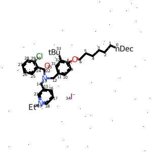 CCCCCCCCCCCCCCCCOc1ccc(CN(Cc2ccc[n+](CC)c2)C(=O)c2ccccc2Cl)cc1C(C)(C)C.[I-]